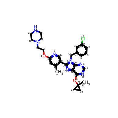 Cc1cc(OCCN2CCNCC2)ncc1-c1nc2c(OC3(C)CC3)ncnc2n1Cc1cccc(Cl)c1